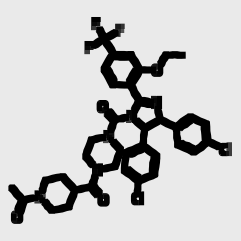 CCOc1cc(C(F)(F)F)ccc1C1=NC(c2ccc(Cl)cc2)C(c2ccc(Cl)cc2)N1C(=O)N1CCN(C(=O)C2CCN(C(C)=O)CC2)CC1